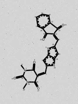 CN1C(=O)C(=Cc2cc3sc(C=C4C(=O)c5ccccc5C4=O)cc3s2)C(=O)N(C)C1=O